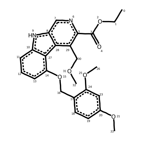 CCOC(=O)c1ncc2[nH]c3cccc(OCc4ccc(OC)cc4OC)c3c2c1COC